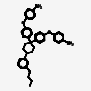 CCCCc1cccc(C2CCC(c3ccc(Oc4ccc(N)cc4)cc3)(c3ccc(Oc4ccc(N)cc4)cc3)CC2)c1